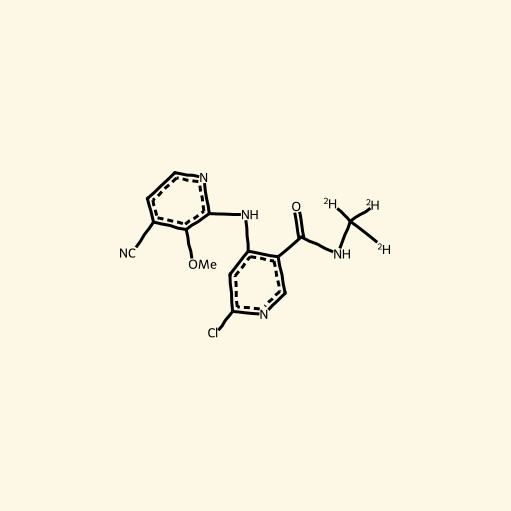 [2H]C([2H])([2H])NC(=O)c1cnc(Cl)cc1Nc1nccc(C#N)c1OC